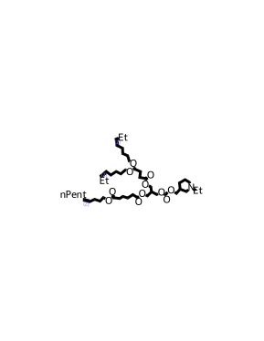 CC/C=C\CCCCOC(CCC(=O)OCC(COC(=O)CCCCC(=O)OCCC/C=C\CCCCC)COC(=O)OCC1CCCN(CC)C1)OCCCC/C=C\CC